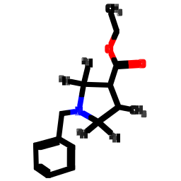 [2H]C1([2H])C(C)C(C(=O)OCC)C([2H])([2H])N1Cc1ccccc1